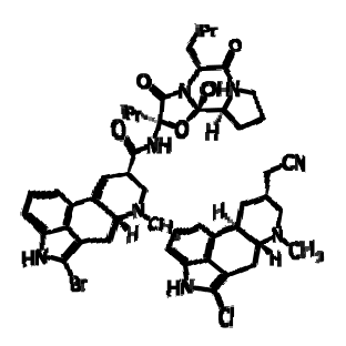 CC(C)C[C@H]1C(=O)N2CCC[C@H]2[C@]2(O)O[C@](NC(=O)[C@@H]3C=C4c5cccc6[nH]c(Br)c(c56)C[C@H]4N(C)C3)(C(C)C)C(=O)N12.CN1C[C@H](CC#N)C[C@@H]2c3cccc4[nH]c(Cl)c(c34)C[C@H]21